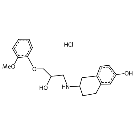 COc1ccccc1OCC(O)CNC1CCc2cc(O)ccc2C1.Cl